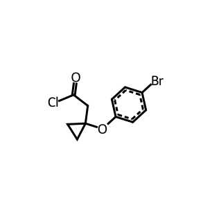 O=C(Cl)CC1(Oc2ccc(Br)cc2)CC1